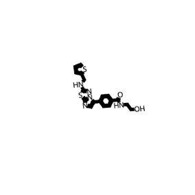 O=C(NCCO)c1ccc(-c2cnc3sc(NCc4cccs4)nn23)cc1